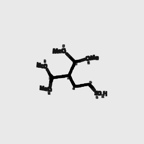 COC(OC)C(CCS(=O)(=O)O)C(OC)OC